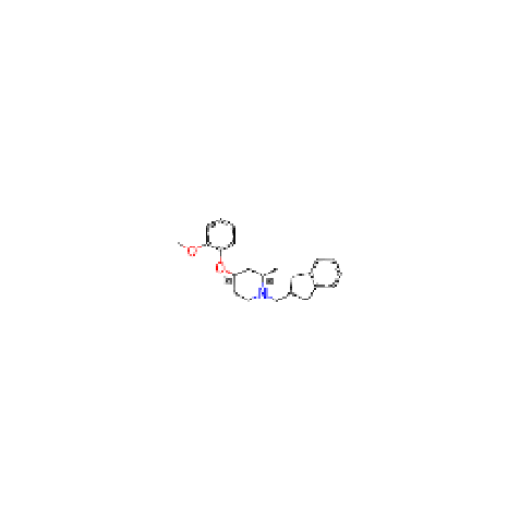 COc1ccccc1O[C@@H]1CCN(CC2Cc3ccccc3C2)[C@H](C)C1